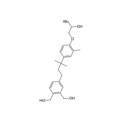 Cc1cc(C(C)(C)CCc2ccc(CO)c(CO)c2)ccc1OCC(O)C(C)(C)C